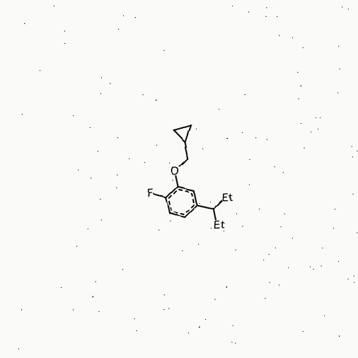 CCC(CC)c1ccc(F)c(OCC2CC2)c1